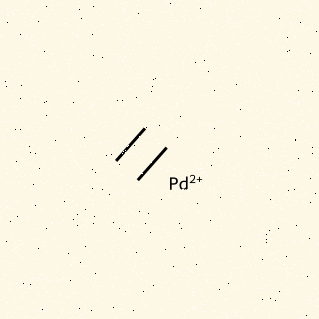 CC.CC.[Pd+2]